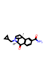 C[C@H]1[C@H]2C(=O)c3ccc(C(N)=O)cc3[C@]1(C)CCN2CC1CC1